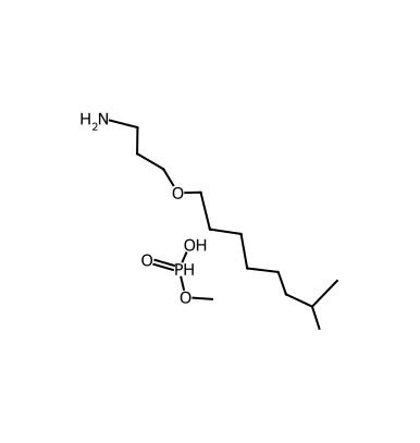 CC(C)CCCCCCOCCCN.CO[PH](=O)O